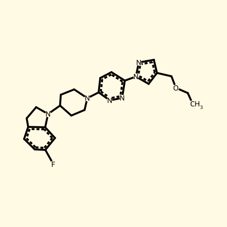 CCOCc1cnn(-c2ccc(N3CCC(N4CCc5ccc(F)cc54)CC3)nn2)c1